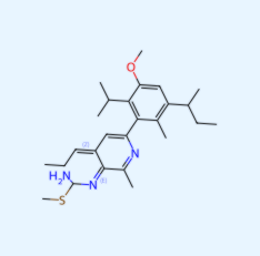 CC/C=C1/C=C(c2c(C)c(C(C)CC)cc(OC)c2C(C)C)N=C(C)/C1=N/C(N)SC